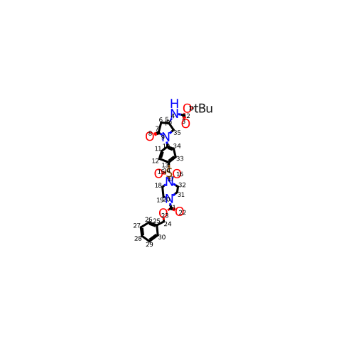 CC(C)(C)OC(=O)N[C@@H]1CC(=O)N(c2ccc(S(=O)(=O)N3CCN(C(=O)OCc4ccccc4)CC3)cc2)C1